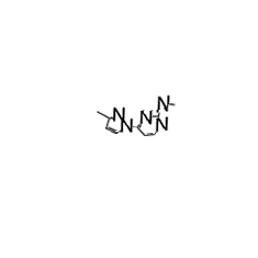 Cc1ccn(-c2ccnc(N(C)C)n2)n1